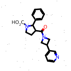 O=C(C1CCN(C(=O)O)C1c1ccccc1)N1CC(c2cccnc2)C1